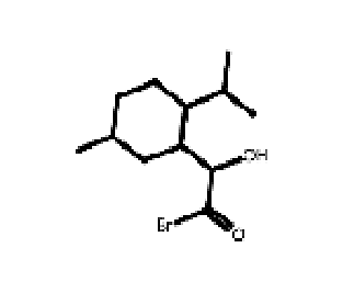 CC1CCC(C(C)C)C(C(O)C(=O)Br)C1